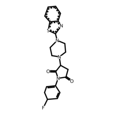 O=C1CC(N2CCN(c3nc4ccccc4s3)CC2)C(=O)N1C1=CCC(F)C=C1